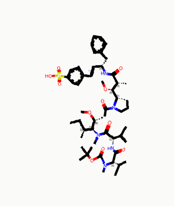 CC[C@H](C)[C@@H]([C@@H](CC(=O)N1CCC[C@H]1[C@H](OC)[C@@H](C)C(=O)N[C@H](/C=C/c1ccc(S(=O)(=O)O)cc1)Cc1ccccc1)OC)N(C)C(=O)[C@@H](NC(=O)[C@H](C(C)C)N(C)C(=O)OC(C)(C)C)C(C)C